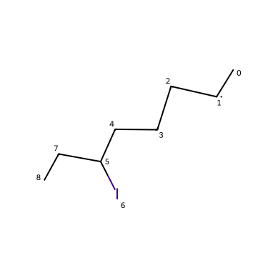 C[CH]CCCC(I)CC